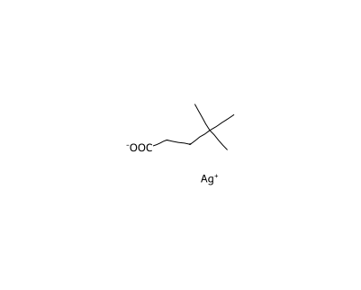 CC(C)(C)CCC(=O)[O-].[Ag+]